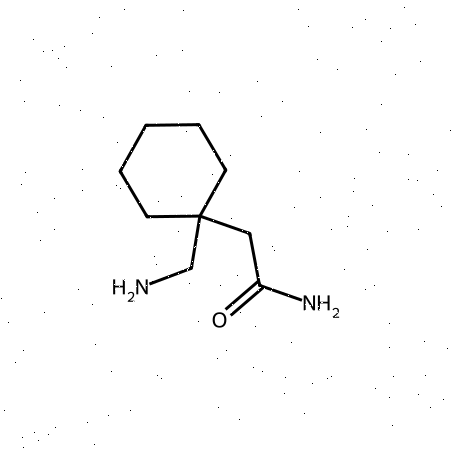 NCC1(CC(N)=O)CCCCC1